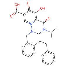 CC(C)N1CN(Cc2ccccc2CCc2ccccc2)n2cc(C(=O)O)c(=O)c(O)c2C1=O